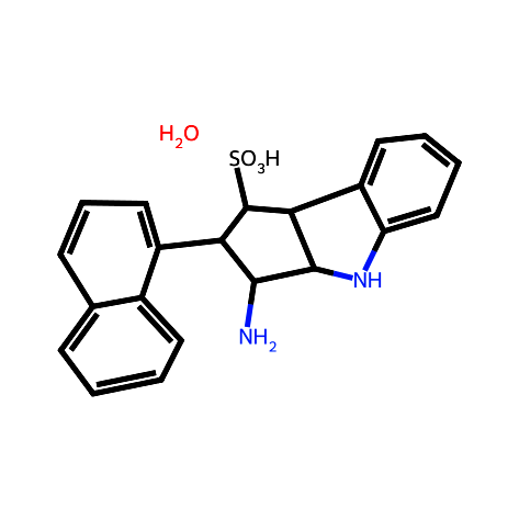 NC1C2Nc3ccccc3C2C(S(=O)(=O)O)C1c1cccc2ccccc12.O